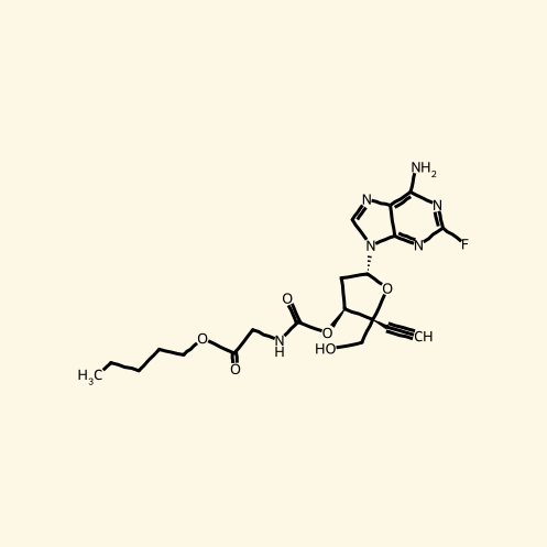 C#C[C@]1(CO)O[C@@H](n2cnc3c(N)nc(F)nc32)C[C@@H]1OC(=O)NCC(=O)OCCCCC